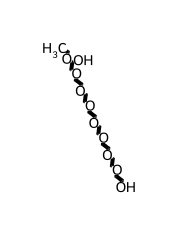 CCOC(O)COCCOCCOCCOCCOCCOCCOCCO